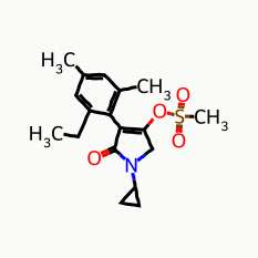 CCc1cc(C)cc(C)c1C1=C(OS(C)(=O)=O)CN(C2CC2)C1=O